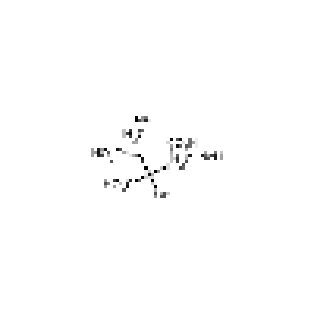 O.O.O=C(O)CC(O)(CC(=O)O)C(=O)O.[NaH].[NaH]